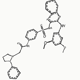 COc1cc(Nc2nc3ccccc3nc2NS(=O)(=O)c2cccc(NC(=O)CN3CCCC3c3ccccc3)c2)cc(OC)c1